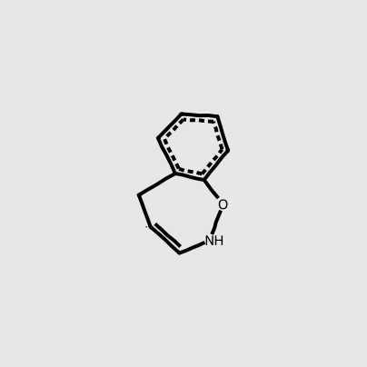 [C]1=CNOc2ccccc2C1